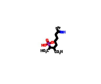 CCCC(=N)CCCCC(C(=O)O)C(C(=O)O)P(=O)(O)O